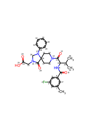 Cc1cc(F)cc(C(=O)NC(C(=O)N2CCC3(CC2)C(=O)N(CC(=O)O)CN3c2ccccc2)C(C)C)c1